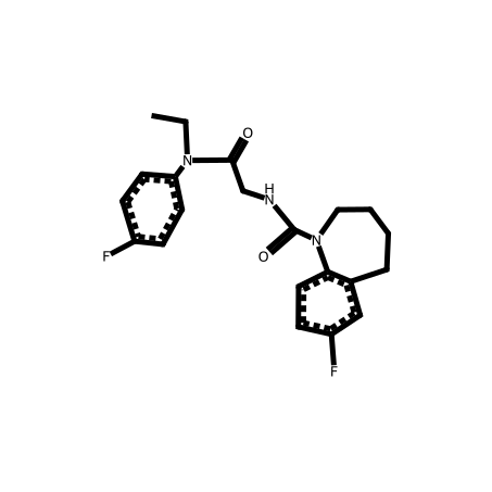 CCN(C(=O)CNC(=O)N1CCCCc2cc(F)ccc21)c1ccc(F)cc1